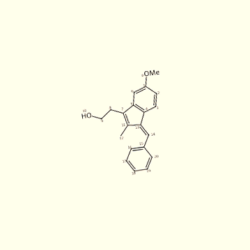 COc1ccc2c(c1)C(CCO)=C(C)C2=Cc1ccccc1